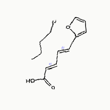 O=C(O)/C=C/C=C/c1ccco1.[Li][CH2]CCC